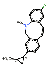 CC(=O)N1Cc2cc([C@H]3C[C@H]3C(=O)O)ccc2C=Cc2cc(Cl)ccc21